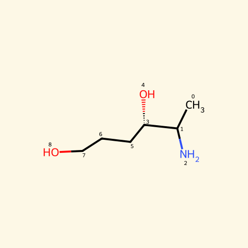 CC(N)[C@@H](O)CCCO